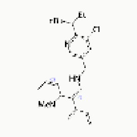 C=CC(=C)/C(=C/NCc1cnc(C(CC)CCCC)c(Cl)c1)C(/C=C\C)NC